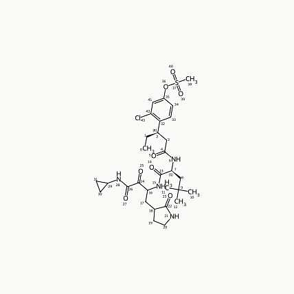 CC[C@H](CC(=O)N[C@@H](CC(C)(C)C)C(=O)NC(CC1CCNC1=O)C(=O)C(=O)NC1CC1)c1ccc(OS(C)(=O)=O)cc1Cl